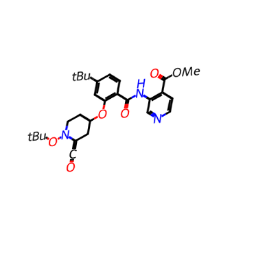 COC(=O)c1ccncc1NC(=O)c1ccc(C(C)(C)C)cc1OC1CCN(OC(C)(C)C)C(=C=O)C1